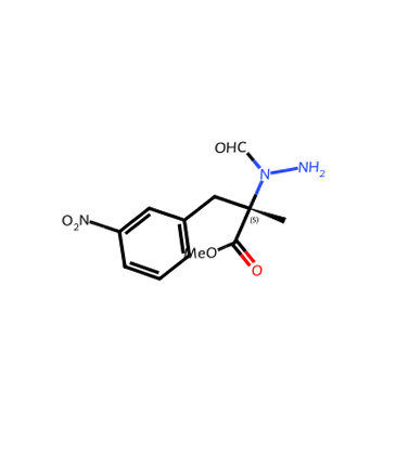 COC(=O)[C@](C)(Cc1cccc([N+](=O)[O-])c1)N(N)C=O